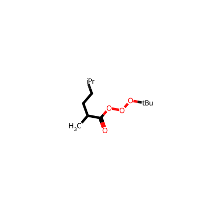 CC(C)CCC(C)C(=O)OOOC(C)(C)C